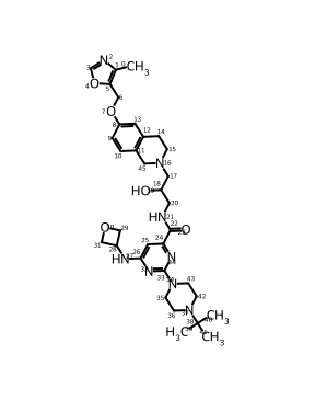 Cc1ncoc1COc1ccc2c(c1)CCN(CC(O)CNC(=O)c1cc(NC3COC3)nc(N3CCN(C(C)(C)C)CC3)n1)C2